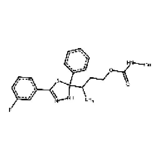 CC(CCOC(=O)NC(C)(C)C)C1(c2ccccc2)NN=C(c2cccc(F)c2)S1